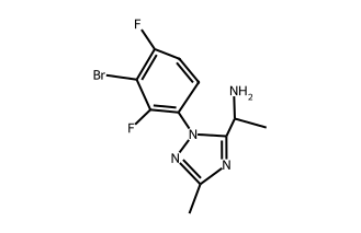 Cc1nc(C(C)N)n(-c2ccc(F)c(Br)c2F)n1